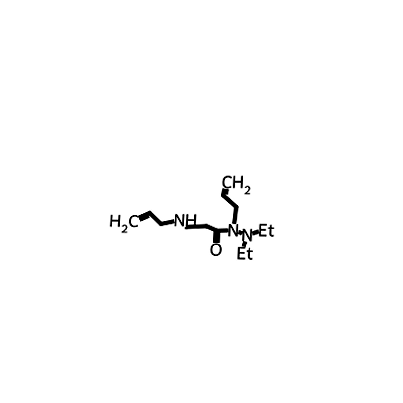 C=CCNCCC(=O)N(CC=C)N(CC)CC